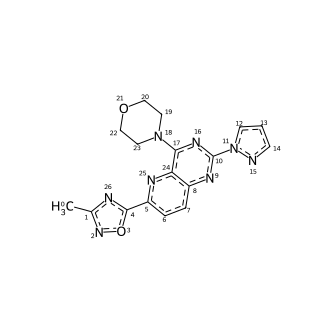 Cc1noc(-c2ccc3nc(-n4cccn4)nc(N4CCOCC4)c3n2)n1